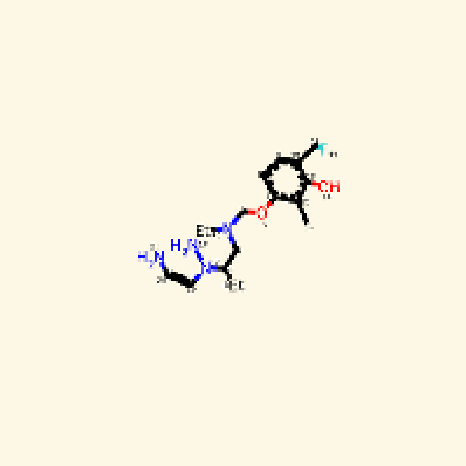 CCC(CN(CC)COc1ccc(CF)c(O)c1C)N(N)/C=C\N